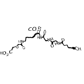 C#CCCCC(=O)NCC(=O)NCC(=O)N[C@@H](CCCCNC(=O)COCC(=O)O)C(=O)OCC